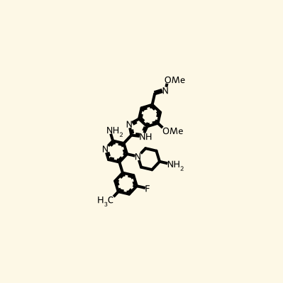 CON=Cc1cc(OC)c2[nH]c(-c3c(N)ncc(-c4cc(C)cc(F)c4)c3N3CCC(N)CC3)nc2c1